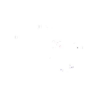 CCCCCCCCCCCC[n+]1ccn(C)c1.CCCCOP(=O)([O-])OCCCC